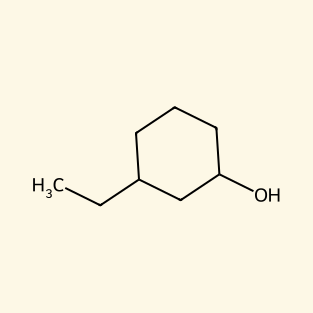 CCC1CCCC(O)C1